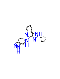 c1ccc2c(c1)nc(Nc1ccc3cn[nH]c3c1)c1nc(C3CCCC3)[nH]c12